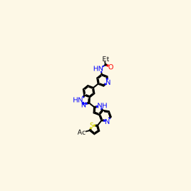 CCC(=O)Nc1cncc(-c2ccc3[nH]nc(-c4cc5c(-c6ccc(C(C)=O)s6)nccc5[nH]4)c3c2)c1